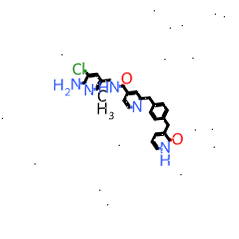 Cc1nc(N)c(Cl)cc1CNC(=O)c1ccnc(Cc2ccc(Cc3ccc[nH]c3=O)cc2)c1